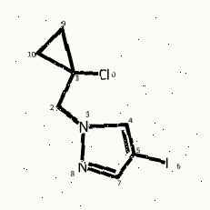 ClC1(Cn2cc(I)cn2)CC1